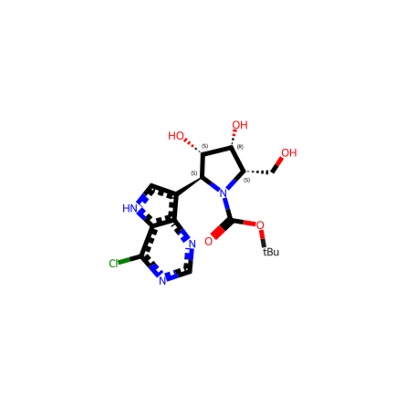 CC(C)(C)OC(=O)N1[C@@H](CO)[C@@H](O)[C@@H](O)[C@@H]1c1c[nH]c2c(Cl)ncnc12